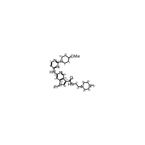 COC1CCN(c2nccc(Nc3cc4c(cn3)c(C(=O)NCCN3CCN(C)CC3)cn4C(C)C)n2)CC1